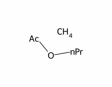 C.CCCOC(C)=O